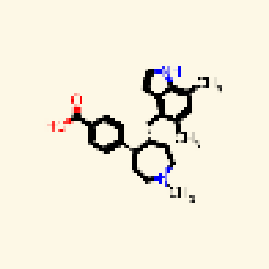 Cc1cc(C)c2[nH]ccc2c1C[C@@H]1CCN(C)CC[C@H]1c1ccc(C(=O)O)cc1